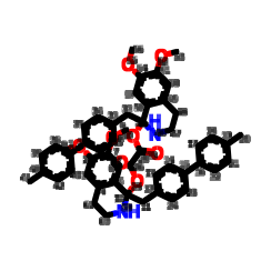 COc1cc2c(cc1OC)C(Cc1ccc(-c3ccc(C)cc3)cc1)(OC(=O)C(=O)OC1(Cc3ccc(-c4ccc(C)cc4)cc3)NCCc3cc(OC)c(OC)cc31)NCC2